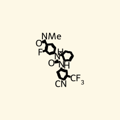 CNC(=O)c1ccc(N2C(=O)N(c3ccc(C#N)c(C(F)(F)F)c3)[C@@H]3C=CCC[C@H]32)cc1F